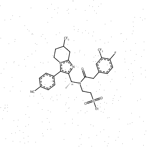 CCS(=O)(=O)CCN(C(=O)Cc1ccc(F)c(C(F)(F)F)c1)[C@H](C)c1nc2n(c1-c1ccc(C#N)cc1)CCC(C(F)(F)F)C2